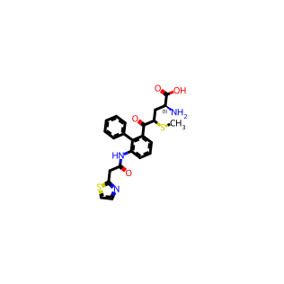 CSC(C[C@H](N)C(=O)O)C(=O)c1cccc(NC(=O)Cc2nccs2)c1-c1ccccc1